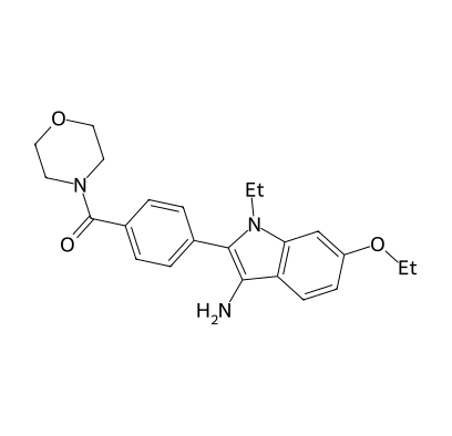 CCOc1ccc2c(N)c(-c3ccc(C(=O)N4CCOCC4)cc3)n(CC)c2c1